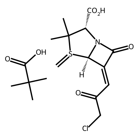 C=S1[C@@H]2C(=CC(=O)CCl)C(=O)N2[C@@H](C(=O)O)C1(C)C.CC(C)(C)C(=O)O